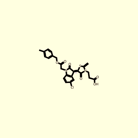 C=c1s/c(=C2\C(=O)N(CC(=O)OCc3ccc(C)cc3)c3ccc(Cl)cc32)c(=O)n1CCC(=O)O